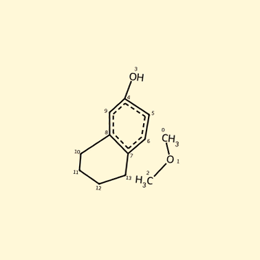 COC.Oc1ccc2c(c1)CCCC2